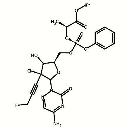 CC(C)OC(=O)[C@H](C)O[P@](=O)(OC[C@H]1OC(n2ncc(N)nc2=O)C(Cl)(C#CCF)C1O)Oc1ccccc1